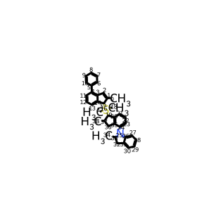 CC1=Cc2c(-c3ccccc3)cccc2C1S(C)(C)C1c2cccc(N3c4ccccc4CC3C)c2CC1C